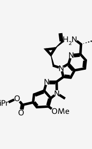 C=C[C@@H]1C[C@@H]1Cn1c(-c2nc3cc(C(=O)OC(C)C)cc(OC)c3n2C)cc2ccc([C@@H](C)N)nc21